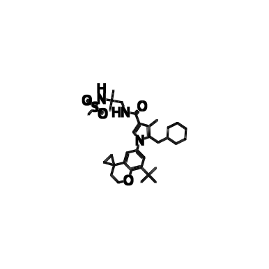 Cc1c(C(=O)NCC(C)(C)NS(C)(=O)=O)cn(-c2cc(C(C)(C)C)c3c(c2)C2(CCO3)CC2)c1CC1CCCCC1